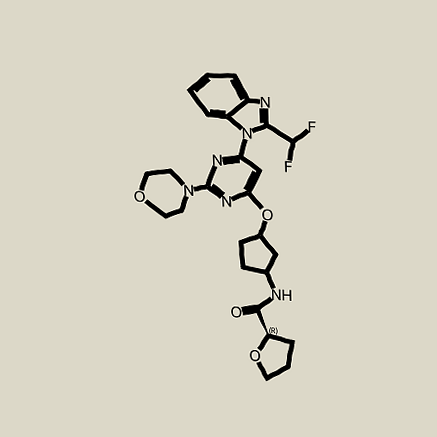 O=C(NC1CCC(Oc2cc(-n3c(C(F)F)nc4ccccc43)nc(N3CCOCC3)n2)C1)[C@H]1CCCO1